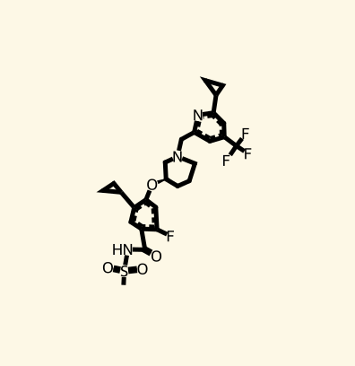 CS(=O)(=O)NC(=O)c1cc(C2CC2)c(O[C@@H]2CCCN(Cc3cc(C(F)(F)F)cc(C4CC4)n3)C2)cc1F